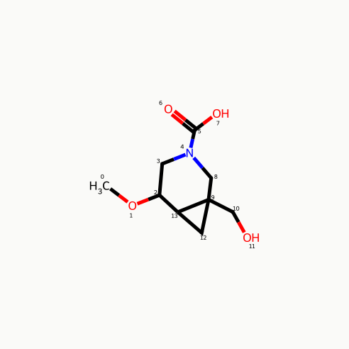 COC1CN(C(=O)O)CC2(CO)CC12